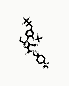 CCc1nc(C(=O)NCC2(O)CCC(S(C)(=O)=O)CC2)c(C#N)n1-c1ccc(CC(C)(C)C(F)(F)F)cc1OC(F)(F)F